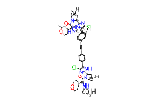 CC1CC([C@@](C)(NC(=O)O)C(=O)N2C3C[C@@H]3C[C@H]2c2nc(Cl)c(-c3ccc(C#Cc4ccc(-c5[nH]c([C@@H]6C[C@H]7CC7N6C(=O)[C@H](NC(=O)O)C6CCOCC6)nc5Cl)cc4)cc3)[nH]2)CCO1